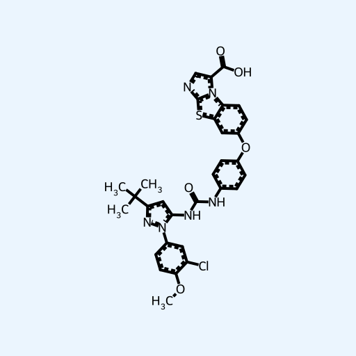 COc1ccc(-n2nc(C(C)(C)C)cc2NC(=O)Nc2ccc(Oc3ccc4c(c3)sc3ncc(C(=O)O)n34)cc2)cc1Cl